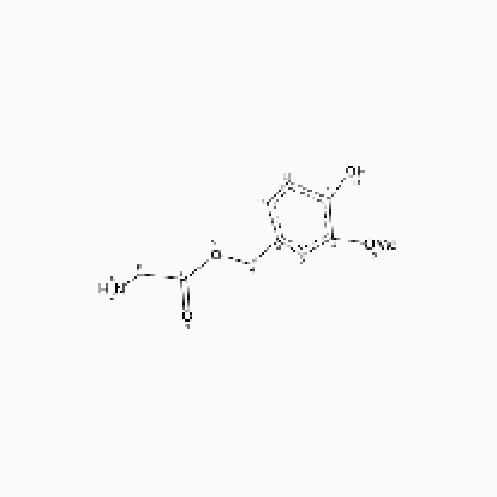 COc1cc(COC(=O)CN)ccc1O